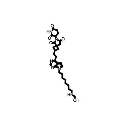 O=C1CCC(N2C(=O)CC3(CC(CCc4ncnc5c4ccn5CCCCCCCCNCO)C3)C2=O)C(=O)N1